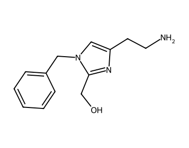 NCCc1cn(Cc2ccccc2)c(CO)n1